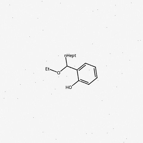 CCCCCCCC(OCC)c1ccccc1O